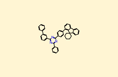 c1ccc(-c2cccc(-c3nc(-c4ccccc4)nc(-c4ccc(-c5cccc6c5C5(CCCCC5)c5ccccc5-6)cc4)n3)c2)cc1